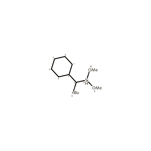 CCCCC(C1CCCCC1)[SiH](OC)OC